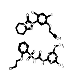 C#CCOc1cc(-n2nc3n(c2=O)CCCC3)c(Cl)cc1Cl.COc1nc(C)nc(NC(=O)NS(=O)(=O)c2ccccc2OCCCl)n1